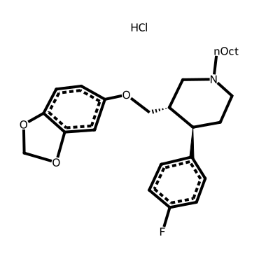 CCCCCCCCN1CC[C@@H](c2ccc(F)cc2)[C@H](COc2ccc3c(c2)OCO3)C1.Cl